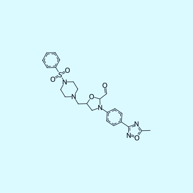 Cc1nc(-c2ccc(N3CC(CN4CCN(S(=O)(=O)c5ccccc5)CC4)OC3C=O)cc2)no1